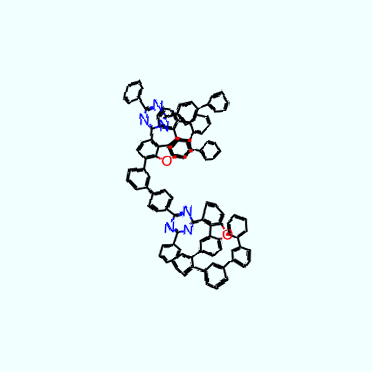 c1ccc(-c2ccc(-c3nc(-c4ccccc4)nc(-c4ccc(-c5cccc(-c6ccc(-c7nc(-c8ccccc8)nc(-c8cccc9oc%10ccc(-c%11ccccc%11-c%11cccc(-c%12cccc(-c%13ccccc%13)c%12)c%11)cc%10c89)n7)cc6)c5)c5oc6ccc(-c7ccccc7-c7ccccc7-c7cccc(-c8ccccc8)c7)cc6c45)n3)cc2)cc1